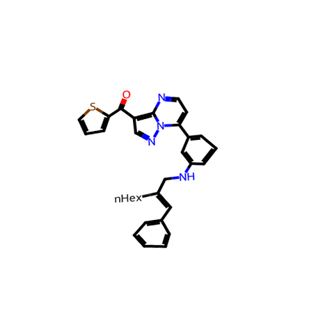 CCCCCCC(=Cc1ccccc1)CNc1cccc(-c2ccnc3c(C(=O)c4cccs4)cnn23)c1